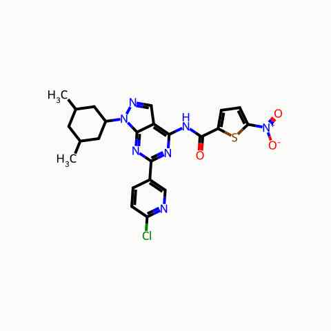 CC1CC(C)CC(n2ncc3c(NC(=O)c4ccc([N+](=O)[O-])s4)nc(-c4ccc(Cl)nc4)nc32)C1